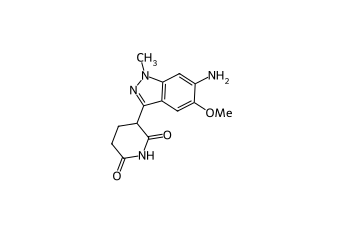 COc1cc2c(C3CCC(=O)NC3=O)nn(C)c2cc1N